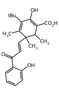 CC1=C(C(C)(C)C)C(O)=C(C(=O)O)C(C)C1(C)C=CC(=O)c1ccccc1O